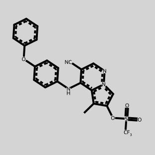 Cc1c(OS(=O)(=O)C(F)(F)F)cn2ncc(C#N)c(Nc3ccc(Oc4ccccc4)cc3)c12